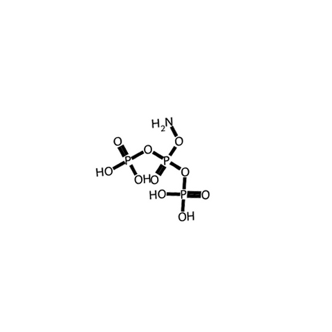 NOP(=O)(OP(=O)(O)O)OP(=O)(O)O